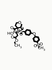 CCOC(=O)CCN(C1(C(=O)NO)CCOCC1)S(=O)(=O)c1ccc(Oc2ccc(S(C)(=O)=O)cc2)cc1